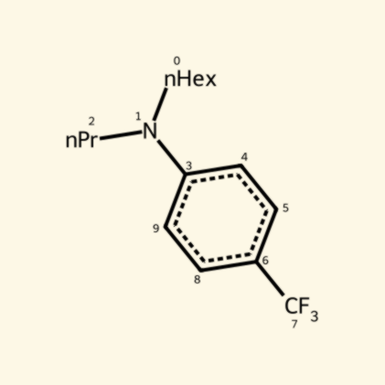 CCCCCCN(CCC)c1ccc(C(F)(F)F)cc1